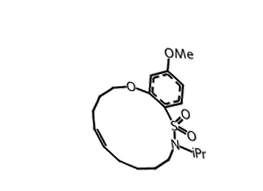 COc1ccc2c(c1)OCCCC=CCCCCN(C(C)C)S2(=O)=O